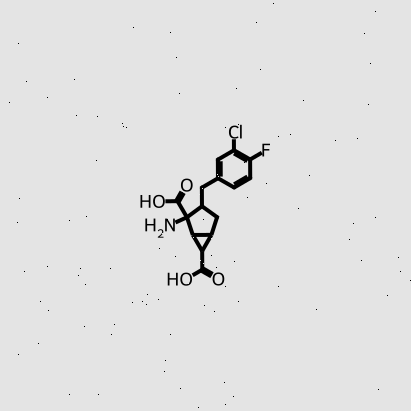 NC1(C(=O)O)C(Cc2ccc(F)c(Cl)c2)CC2C(C(=O)O)C21